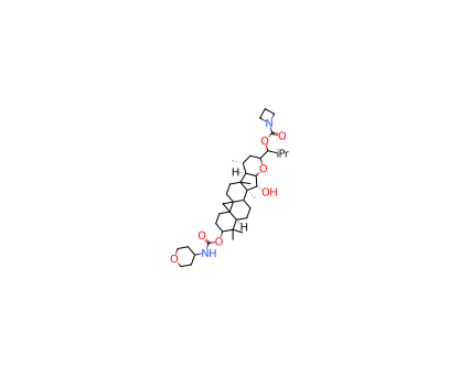 CC(C)C(OC(=O)N1CCC1)C1C[C@@H](C)[C@H]2C(O1)[C@H](O)[C@@]1(C)C3CC[C@H]4C(C)(C)C(OC(=O)NC5CCOCC5)CCC45CC35CCC21C